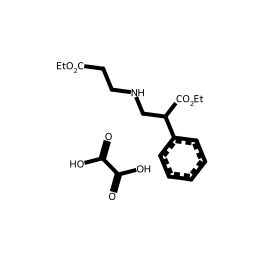 CCOC(=O)CCNCC(C(=O)OCC)c1ccccc1.O=C(O)C(=O)O